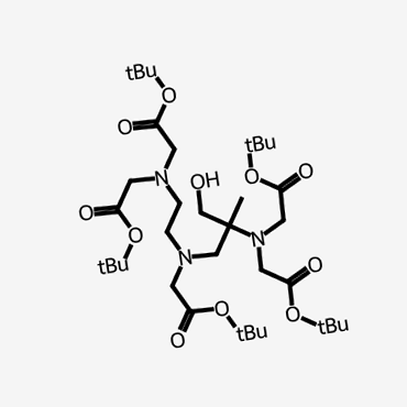 CC(C)(C)OC(=O)CN(CCN(CC(=O)OC(C)(C)C)CC(C)(CO)N(CC(=O)OC(C)(C)C)CC(=O)OC(C)(C)C)CC(=O)OC(C)(C)C